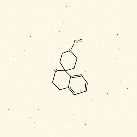 O=CN1CCC2(CC1)OCCc1ccccc12